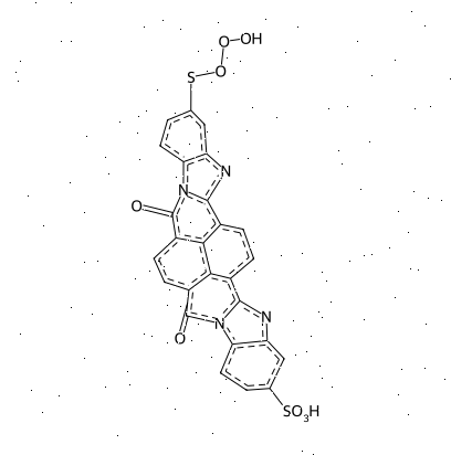 O=c1c2ccc3c(=O)n4c5ccc(S(=O)(=O)O)cc5nc4c4ccc(c2c34)c2nc3cc(SOOO)ccc3n12